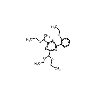 CCOc1ccccc1-c1nc(N(C)OCC)nc(N(OCC)OCC)n1